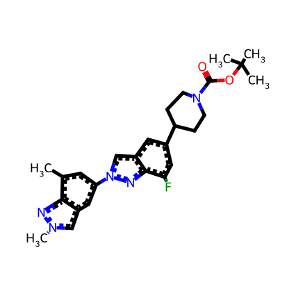 Cc1cc(-n2cc3cc(C4CCN(C(=O)OC(C)(C)C)CC4)cc(F)c3n2)cc2cn(C)nc12